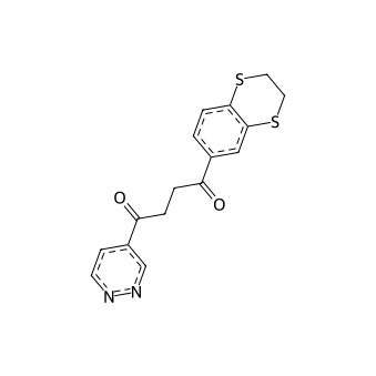 O=C(CCC(=O)c1ccc2c(c1)SCCS2)c1ccnnc1